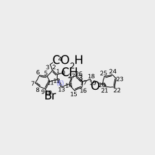 CC1=C(CC(=O)O)c2cccc(Br)c2/C1=C/c1ccc(COc2ccccc2)cc1